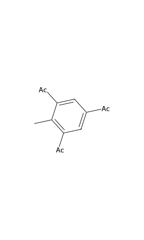 CC(=O)c1cc(C(C)=O)c(C)c(C(C)=O)c1